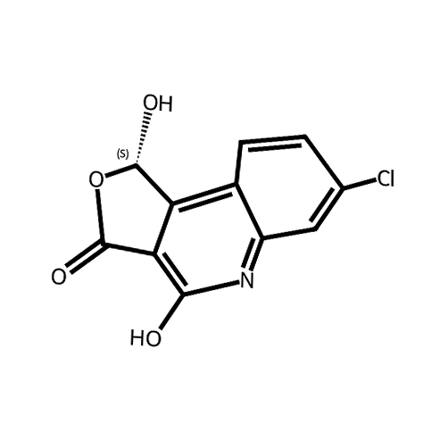 O=C1O[C@H](O)c2c1c(O)nc1cc(Cl)ccc21